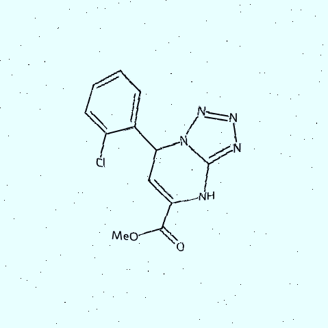 COC(=O)C1=CC(c2ccccc2Cl)n2nnnc2N1